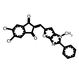 Cn1c(-c2ccccc2)nc2oc(C=C3C(=O)c4cc(Cl)c(Cl)cc4C3=O)cc21